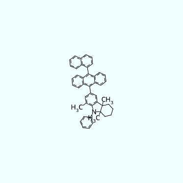 Cc1cc(-c2c3ccccc3c(-c3cccc4ccccc34)c3ccccc23)cc2c1N(c1ccccc1)C1(C)CCCCC21C